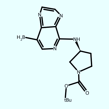 Bc1cnc(N[C@H]2CCN(C(=O)OC(C)(C)C)C2)c2nccnc12